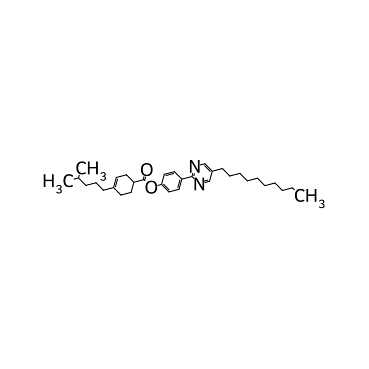 CCCCCCCCCCc1cnc(-c2ccc(OC(=O)C3CC=C(CCCC(C)C)CC3)cc2)nc1